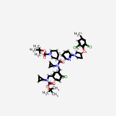 Cc1cc(Cl)c(O[C@H]2CCN(c3ccc([C@H]4CCN(C(=O)OC(C)(C)C)C[C@@H]4C(=O)N(Cc4cc(CN(C(=O)OC(C)(C)C)C5CC5)ccc4Cl)C4CC4)cn3)C2)c(Cl)c1